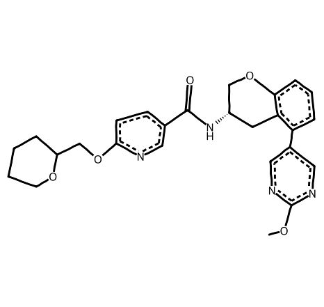 COc1ncc(-c2cccc3c2C[C@H](NC(=O)c2ccc(OCC4CCCCO4)nc2)CO3)cn1